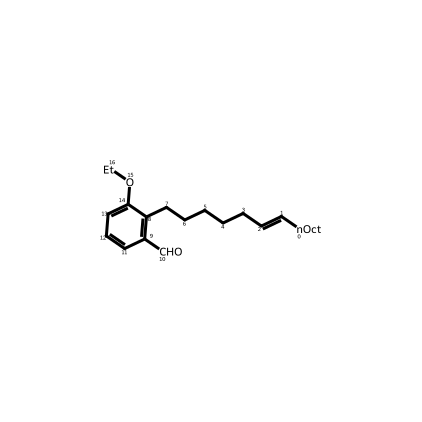 CCCCCCCCC=CCCCCCc1c(C=O)cccc1OCC